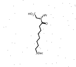 CCCCCCCCCCCCCCCCCC(=O)N(CCC)CC(=O)O